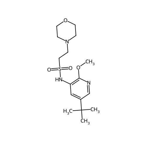 COc1ncc(C(C)(C)C)cc1NS(=O)(=O)CCN1CCOCC1